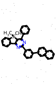 C[Si]1(C)c2ccccc2-c2nc(-c3cccc(-c4ccc5ccccc5c4)c3)nc(-c3ccccc3)c21